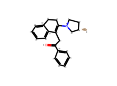 Br.O=C(CC1=C(N2CCCC2)CCc2ccccc21)c1ccccc1